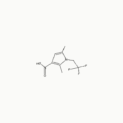 Cc1cc(C(=O)O)c(C)n1CC(F)(F)F